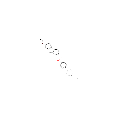 C=CC(=O)c1ccc2c(c1)Cc1cc(OC(=O)c3ccc(C4CCC(CCCC)CC4)cc3)ccc1-2